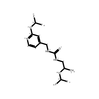 CC(CNC(=O)NCc1ccnc(OC(F)F)c1)OC(F)F